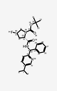 CC(C)c1ccc([C@@H](NC(=O)[C@@H]2C[C@@H](F)CN2C(=O)OC(C)(C)C)c2ccccc2)nc1